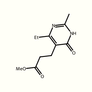 CCc1nc(C)[nH]c(=O)c1CCC(=O)OC